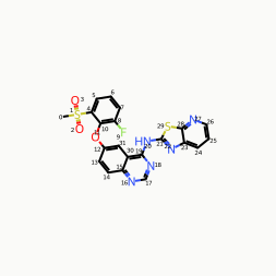 CS(=O)(=O)c1cccc(F)c1Oc1ccc2ncnc(Nc3nc4cccnc4s3)c2c1